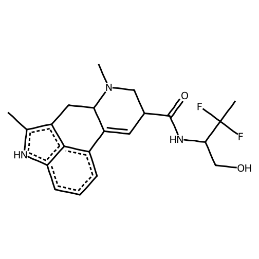 Cc1[nH]c2cccc3c2c1CC1C3=CC(C(=O)NC(CO)C(C)(F)F)CN1C